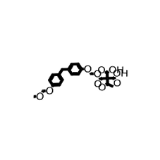 COCOc1ccc(Cc2ccc(OCOC(=O)C(C(C)=O)(C(=O)O)C(=O)O)cc2)cc1